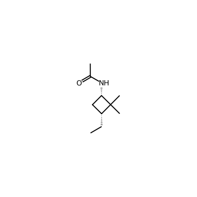 CC[C@@H]1C[C@H](NC(C)=O)C1(C)C